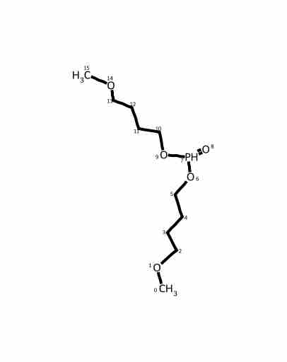 COCCCCO[PH](=O)OCCCCOC